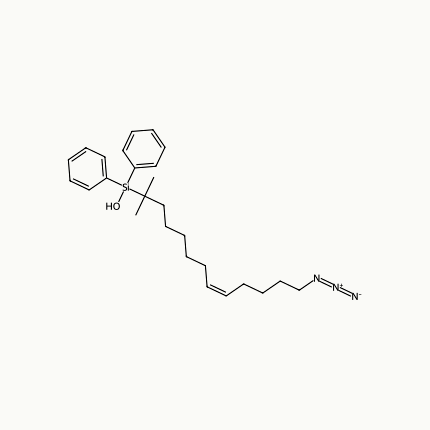 CC(C)(CCCCC/C=C\CCCCN=[N+]=[N-])[Si](O)(c1ccccc1)c1ccccc1